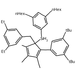 CCCCCCc1cc(CCCCCC)cc([SiH2]C2(Cc3cc(CC)cc(CC)c3)C(C)=C(C)C(C)=C2c2cc(C(C)(C)C)cc(C(C)(C)C)c2)c1